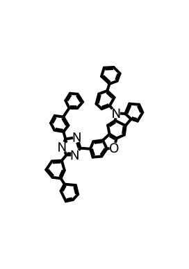 c1ccc(-c2cccc(-c3nc(-c4cccc(-c5ccccc5)c4)nc(-c4ccc5oc6cc7c8ccccc8n(-c8cccc(-c9ccccc9)c8)c7cc6c5c4)n3)c2)cc1